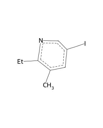 CCc1ncc(I)cc1C